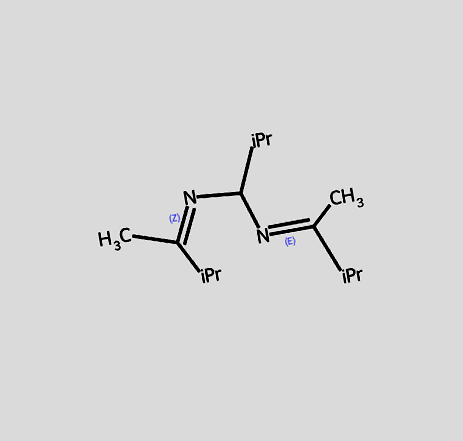 C/C(=N/C(/N=C(\C)C(C)C)C(C)C)C(C)C